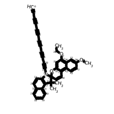 C#CC#CC#CC#CC#CC#CN1c2ccc3ccccc3c2C(C)(C)C12C=Cc1c(cc(OCC)c3cc(OC)ccc13)O2